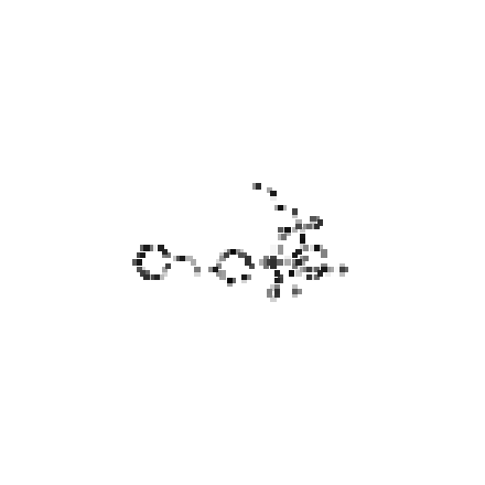 CCCCS(=O)(=O)N1C[C@H]2CC[C@@H]1[C@H](C(=O)Nc1ccc(OCc3ccccc3)cc1)C2